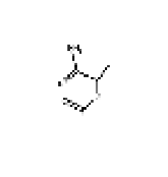 CC(=O)OC(C)C(N)=O